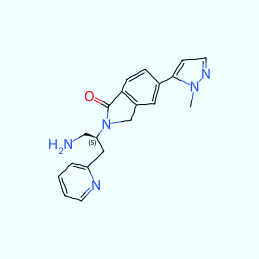 Cn1nccc1-c1ccc2c(c1)CN([C@H](CN)Cc1ccccn1)C2=O